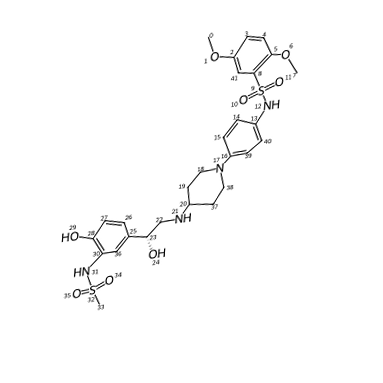 COc1ccc(OC)c(S(=O)(=O)Nc2ccc(N3CCC(NC[C@H](O)c4ccc(O)c(NS(C)(=O)=O)c4)CC3)cc2)c1